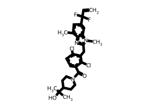 C=CC(F)(F)c1cc(C)c2nc(Cc3c(Cl)ccc(C(=O)N4CCC(C(C)(C)O)CC4)c3Cl)n(C)c2c1